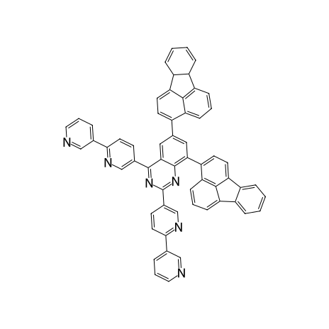 C1=CC2c3cccc4c(-c5cc(-c6ccc7c8c(cccc68)-c6ccccc6-7)c6nc(-c7ccc(-c8cccnc8)nc7)nc(-c7ccc(-c8cccnc8)nc7)c6c5)ccc(c34)C2C=C1